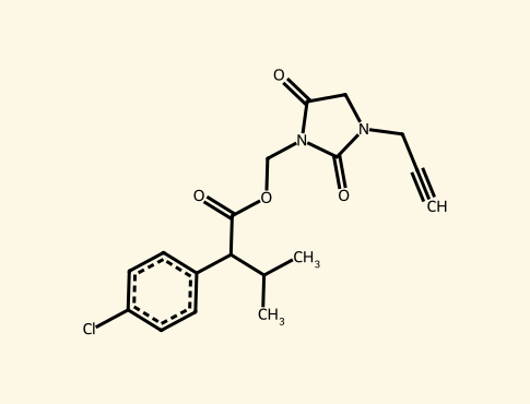 C#CCN1CC(=O)N(COC(=O)C(c2ccc(Cl)cc2)C(C)C)C1=O